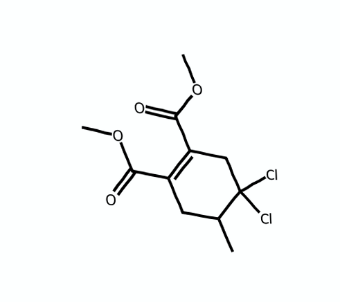 COC(=O)C1=C(C(=O)OC)CC(Cl)(Cl)C(C)C1